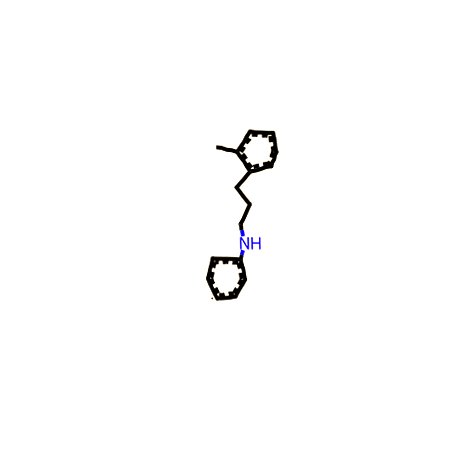 Cc1ccccc1CCCNc1cc[c]cc1